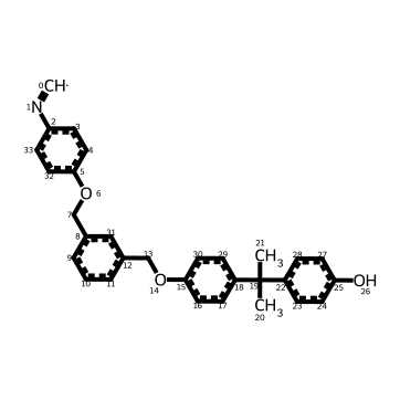 [CH]=Nc1ccc(OCc2cccc(COc3ccc(C(C)(C)c4ccc(O)cc4)cc3)c2)cc1